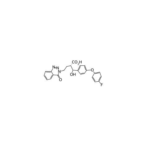 O=C(O)[C@@H](CCn1nnc2ccccc2c1=O)C(O)c1ccc(Oc2ccc(F)cc2)cc1